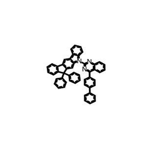 c1ccc(-c2ccc(-c3nc(-n4c5ccccc5c5cc6c(cc54)C(c4ccccc4)(c4ccccc4)c4ccccc4-6)nc4ccccc34)cc2)cc1